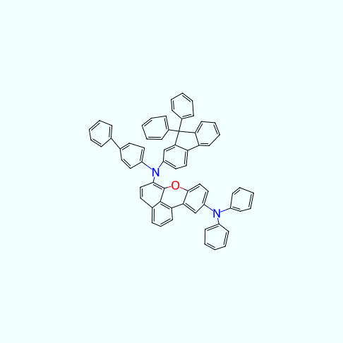 c1ccc(-c2ccc(N(c3ccc4c(c3)C(c3ccccc3)(c3ccccc3)c3ccccc3-4)c3ccc4cccc5c4c3Oc3ccc(N(c4ccccc4)c4ccccc4)cc3-5)cc2)cc1